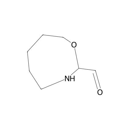 O=CC1NCCCCCO1